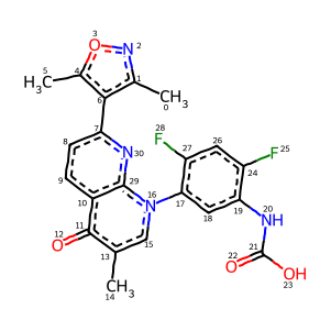 Cc1noc(C)c1-c1ccc2c(=O)c(C)cn(-c3cc(NC(=O)O)c(F)cc3F)c2n1